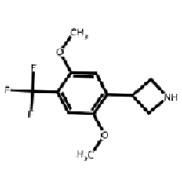 COc1cc(C(F)(F)F)c(OC)cc1C1CNC1